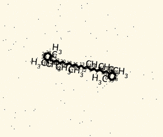 CC1=C(/C=C/C(C)=C/C=C/C(C)=C/CC/C=C(C)/C=C/C=C(C)/C=C/C2=C(C)CCCC2(C)C)C(C)(C)CCC1